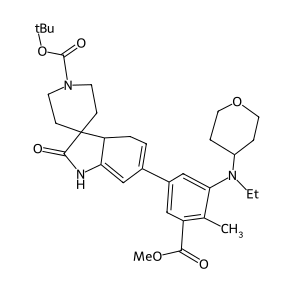 CCN(c1cc(C2=CCC3C(=C2)NC(=O)C32CCN(C(=O)OC(C)(C)C)CC2)cc(C(=O)OC)c1C)C1CCOCC1